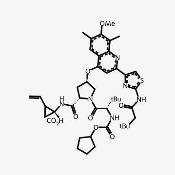 C=CC1C[C@]1(NC(=O)[C@@H]1C[C@@H](Oc2cc(-c3csc(NC(=O)CC(C)(C)C)n3)nc3c(C)c(OC)c(C)cc23)CN1C(=O)[C@@H](NC(=O)OC1CCCC1)C(C)(C)C)C(=O)O